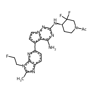 CC(=O)N1CC[C@@H](Nc2nc(N)c3c(-c4ccc5nc(C)n(CCF)c5n4)ccn3n2)C(F)(F)C1